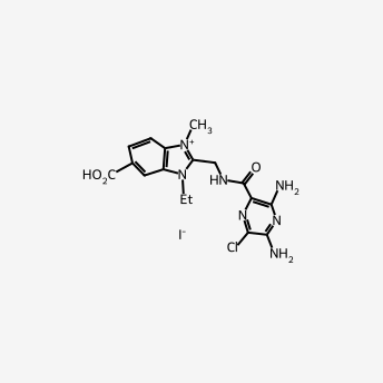 CCn1c(CNC(=O)c2nc(Cl)c(N)nc2N)[n+](C)c2ccc(C(=O)O)cc21.[I-]